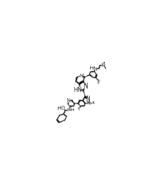 CN(C)CCNc1cc(F)cc(-c2nccc3[nH]c(-c4n[nH]c5cc(F)c(-c6cncc(NC(O)C7CCCCC7)c6)cc45)nc23)c1